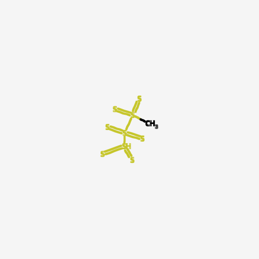 CS(=S)(=S)S(=S)(=S)[SH](=S)=S